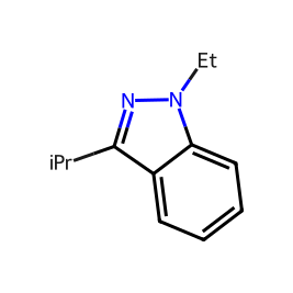 CCn1nc(C(C)C)c2ccccc21